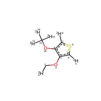 [2H]COc1c([2H])sc([2H])c1OC([2H])([2H])[2H]